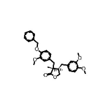 COc1ccc(C[C@H]2COC(=O)[C@]2(C)Cc2ccc(OCc3ccccc3)c(OC)c2)cc1OC